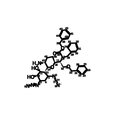 [N-]=[N+]=NC1CC(N=[N+]=[N-])[C@H](O)[C@@H](O)[C@@H]1C1O[C@H]([C@@H](COCc2ccccc2)N(Cc2ccccc2)C(=O)OCc2ccccc2)CC[C@H]1N